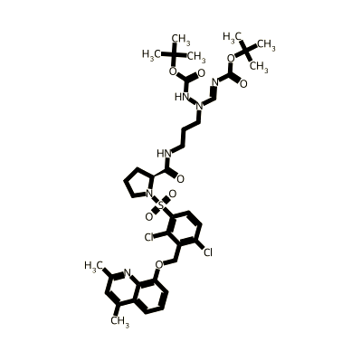 Cc1cc(C)c2cccc(OCc3c(Cl)ccc(S(=O)(=O)N4CCC[C@H]4C(=O)NCCCN(C=NC(=O)OC(C)(C)C)NC(=O)OC(C)(C)C)c3Cl)c2n1